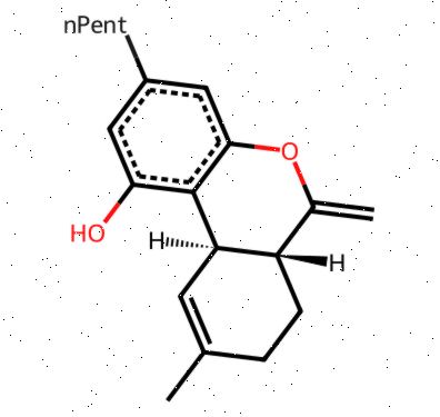 C=C1Oc2cc(CCCCC)cc(O)c2[C@@H]2C=C(C)CC[C@@H]12